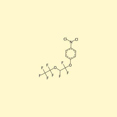 FC(OC(F)(F)C(F)(F)F)C(F)(F)Oc1ccc(N(Cl)Cl)cc1